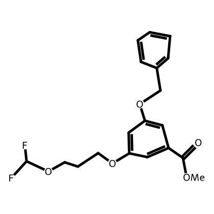 COC(=O)c1cc(OCCCOC(F)F)cc(OCc2ccccc2)c1